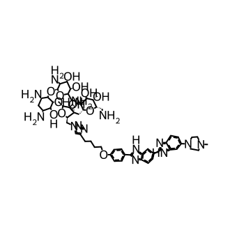 CN1CCN(c2ccc3nc(-c4ccc5nc(-c6ccc(OCCCCc7cn(C[C@H]8O[C@@H](O[C@H]9C(O[C@@H]%10OC(CN)[C@@H](O)[C@H](O)C%10N)C(N)C[C@@H](N)C9O)[C@@H](O)C8C[C@H]8O[C@@H](CN)[C@@H](O)C(O)C8N)nn7)cc6)[nH]c5c4)[nH]c3c2)CC1